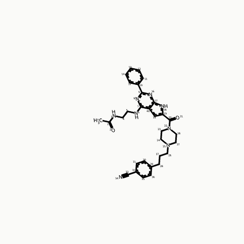 CC(=O)NCCNc1nc(-c2ccccc2)nc2[nH]c(C(=O)N3CCN(CCCc4ccc(C#N)cc4)CC3)cc12